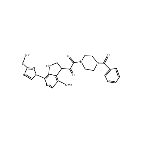 CCCSc1ncn(-c2ncc(OC)c3c2NCC3C(=O)C(=O)N2CCN(C(=O)c3ccccc3)CC2)n1